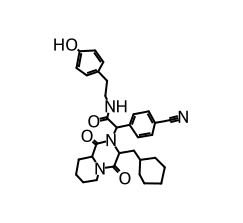 N#Cc1ccc(C(C(=O)NCCc2ccc(O)cc2)N2C(=O)C3CCCCN3C(=O)C2CC2CCCCC2)cc1